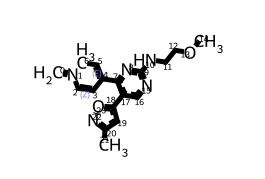 C=N/C=C\C(=C/C)c1nc(NCCOC)ncc1-c1cc(C)no1